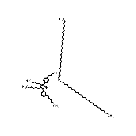 CCCCCCC1=C(c2cccc(CCCCCC)c2)[N+](=[N-])C(c2ccc(CCCC)cc2)=C1CCCCC.CCCCCCCCCCCCCCCCCCCCCCCCCC[CH2][Ni][CH2]CCCCCCCCCCCCCCCCCCCCCCCCCC